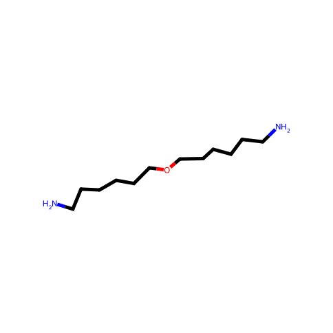 NCCCCCCOCCCCCCN